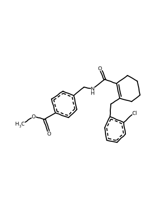 COC(=O)c1ccc(CNC(=O)C2=C(Cc3ccccc3Cl)CCCC2)cc1